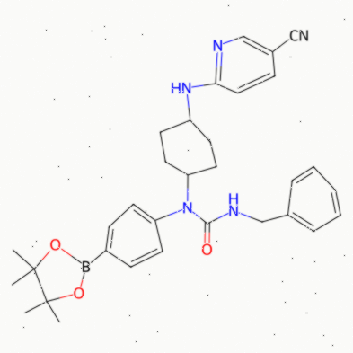 CC1(C)OB(c2ccc(N(C(=O)NCc3ccccc3)C3CCC(Nc4ccc(C#N)cn4)CC3)cc2)OC1(C)C